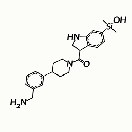 C[Si](C)(O)c1ccc2c(c1)NCC2C(=O)N1CCC(c2cccc(CN)c2)CC1